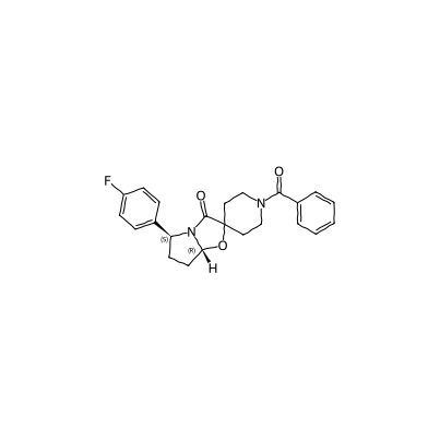 O=C(c1ccccc1)N1CCC2(CC1)O[C@@H]1CC[C@@H](c3ccc(F)cc3)N1C2=O